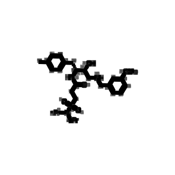 CCCN(CCC)S(=O)(=O)CCC(=O)N[C@H](Cc1ccc(C)cc1)[C@@H](O)CNCc1cccc(OC)c1